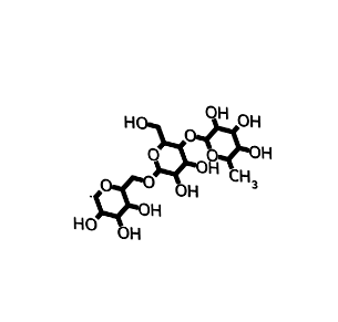 CC1OC(OC2C(CO)OC(OCC3O[CH]C(O)C(O)C3O)C(O)C2O)C(O)C(O)C1O